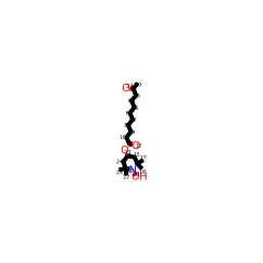 CC(=O)CCCCCCCCC(=O)OC1CC(C)(C)N(O)C(C)(C)C1